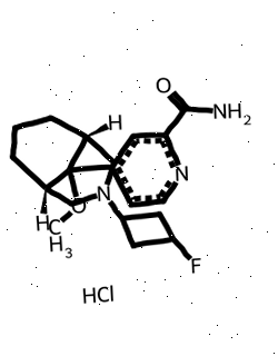 COC1(c2ccnc(C(N)=O)c2)[C@@H]2CCC[C@H]1CN(C1CC(F)C1)C2.Cl